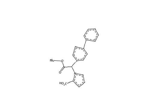 CC(C)(C)OC(=O)C(c1ccc(-c2ccccc2)cc1)n1cccc1C(=O)O